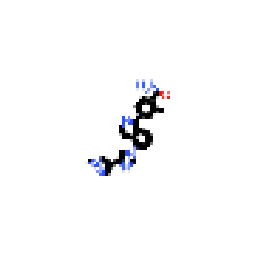 Cc1cc(-c2nccc3c(-n4cnc(-c5cnn(C)c5)c4)cccc23)ccc1C(N)=O